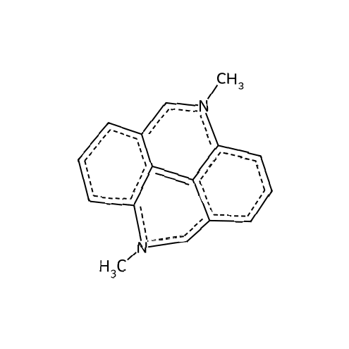 Cn1cc2cccc3c2=c2c(cccc21)cn3C